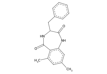 Cc1cc(C)c2c(c1)NC(=O)C(Cc1ccccc1)NC2=O